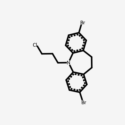 ClCCCN1c2ccc(Br)cc2CCc2cc(Br)ccc21